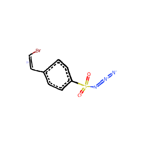 [N-]=[N+]=NS(=O)(=O)c1ccc(/C=C\Br)cc1